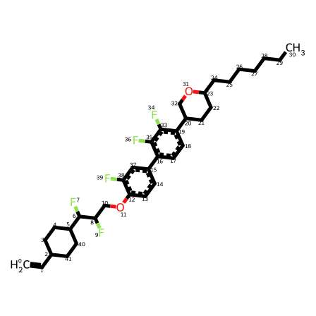 C=CC1CCC(C(F)C(F)COc2ccc(-c3ccc(C4CCC(CCCCCCC)OC4)c(F)c3F)cc2F)CC1